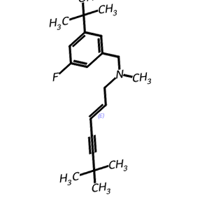 CN(C/C=C/C#CC(C)(C)C)Cc1cc(F)cc(C(C)(C)O)c1